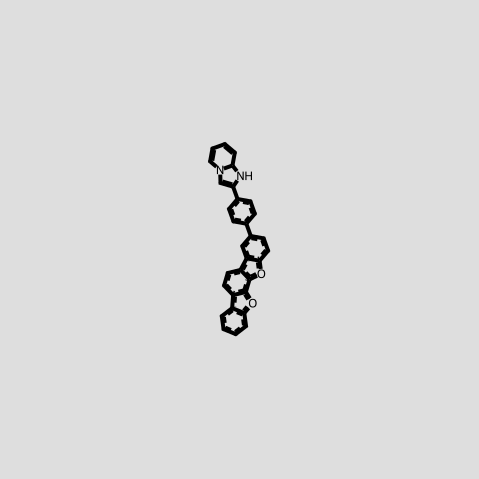 C1=CC2NC(c3ccc(-c4ccc5oc6c(ccc7c8ccccc8oc76)c5c4)cc3)=CN2C=C1